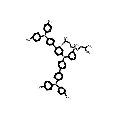 Cc1ccc(N(c2ccc(C)cc2)c2ccc(-c3ccc(N(c4ccc(-c5ccc(N(c6ccc(C)cc6)c6ccc(C)cc6)cc5)cc4)c4cccc([Si](C)(OSC(C)C)OSC(C)C)c4)cc3)cc2)cc1